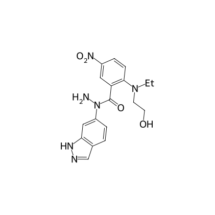 CCN(CCO)c1ccc([N+](=O)[O-])cc1C(=O)N(N)c1ccc2cn[nH]c2c1